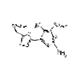 COCc1ccc(-c2nc(N)nc(SC)c2C#N)o1